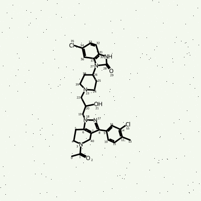 CC(=O)N1CCc2c(c(-c3ccc(C)c(Cl)c3)nn2CC(O)CN2CCC(n3c(=O)[nH]c4ccc(Cl)cc43)CC2)C1